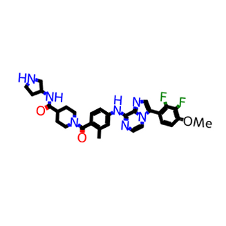 COc1ccc(-c2cnc3c(Nc4ccc(C(=O)N5CCC(C(=O)NC6CCNC6)CC5)c(C)c4)nccn23)c(F)c1F